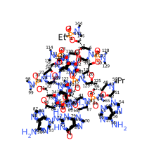 CCP(=O)(OC[C@@H]1CN(P(=O)(OC[C@@H]2CN(P(=O)(OC[C@@H]3CN(P(=O)(OC[C@@H]4CN(P(=O)(OC[C@@H]5CN(P(=O)(OC[C@@H]6CN(P(=O)(OC[C@@H]7CN(C(C)C)C[C@H](n8cnc9c(N)ncnc98)O7)N(C)C)C[C@H](n7cnc8c(=O)[nH]c(N)nc87)O6)N(C)C)C[C@H](n6cnc7c(N)ncnc76)O5)N(C)C)C[C@H](n5cnc6c(N)ncnc65)O4)N(C)C)C[C@H](C)O3)N(C)C)C[C@H](C)O2)N(C)C)C[C@H](n2cnc3c(N)ncnc32)O1)N(C)C